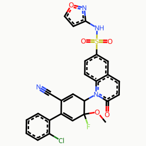 COC1(F)C=C(c2ccccc2Cl)C(C#N)=CC1n1c(=O)ccc2cc(S(=O)(=O)Nc3ccon3)ccc21